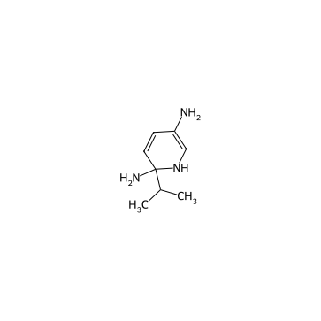 CC(C)C1(N)C=CC(N)=CN1